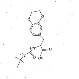 CC(C)(C)OC(=O)NC(Cc1ccc2c(c1)OCCO2)C(=O)O